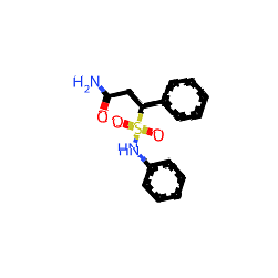 NC(=O)CC(c1ccccc1)S(=O)(=O)Nc1ccccc1